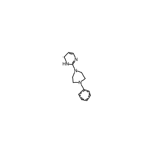 [CH]1C=CN=C(N2CCN(c3ccccc3)CC2)N1